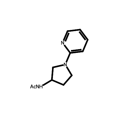 CC(=O)NC1CCN(c2ccccn2)C1